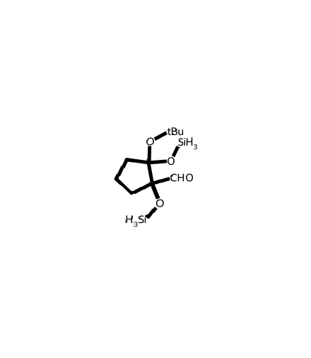 CC(C)(C)OC1(O[SiH3])CCCC1(C=O)O[SiH3]